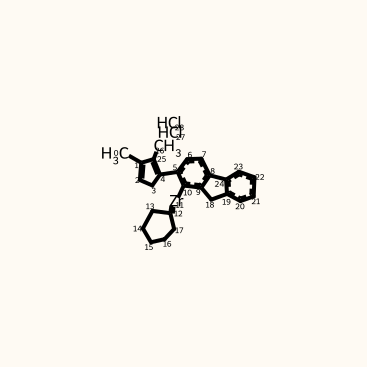 CC1=CCC(c2ccc3c([c]2[Zr]=[C]2CCCCC2)Cc2ccccc2-3)=C1C.Cl.Cl